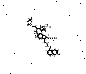 CCOC(=O)c1[nH]c2c(-c3c(C(O)CCN4CCC(F)(F)C4)nn(C)c3CC)c(Cl)ccc2c1CCCOc1cccc2cc(F)ccc12